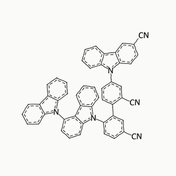 N#Cc1ccc(-n2c3ccccc3c3c(-n4c5ccccc5c5ccccc54)cccc32)c(-c2ccc(-n3c4ccccc4c4cc(C#N)ccc43)cc2C#N)c1